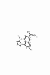 COC1CCCN1c1cc(C)nc2cc(C(N)=O)ccc12